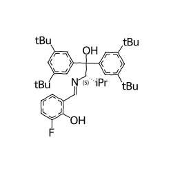 CC(C)[C@H](N=Cc1cccc(F)c1O)C(O)(c1cc(C(C)(C)C)cc(C(C)(C)C)c1)c1cc(C(C)(C)C)cc(C(C)(C)C)c1